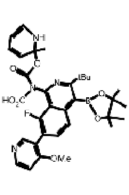 COc1ccncc1-c1ccc2c(B3OC(C)(C)C(C)(C)O3)c(C(C)(C)C)nc(N(C(=O)O)C(=O)OC3(C)C=CC=CN3)c2c1F